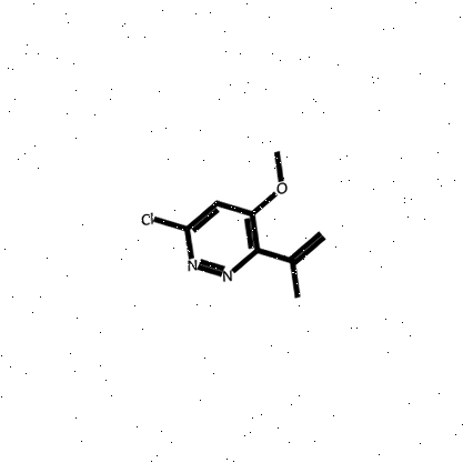 C=C(C)c1nnc(Cl)cc1OC